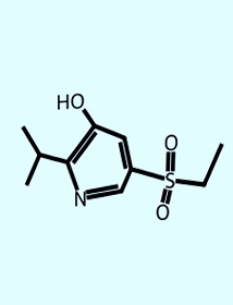 CCS(=O)(=O)c1cnc(C(C)C)c(O)c1